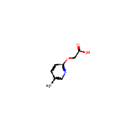 Cc1ccc(OCC(=O)O)nc1